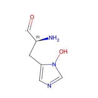 N[C@H]([C]=O)Cc1cncn1O